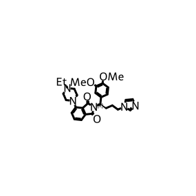 CCN1CCN(c2cccc3c2C(=O)N([C@H](CCCn2ccnc2)c2ccc(OC)c(OC)c2)C3=O)CC1